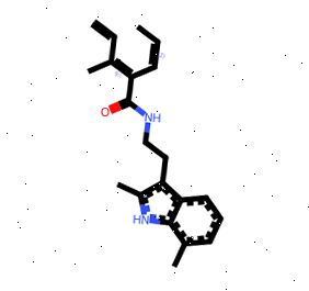 C=C/C(C)=C(\C=C/C)C(=O)NCCc1c(C)[nH]c2c(C)cccc12